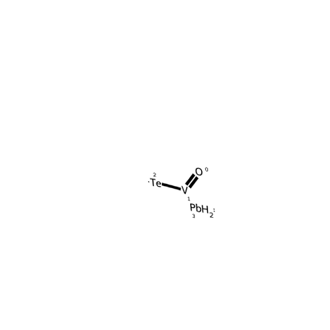 [O]=[V][Te].[PbH2]